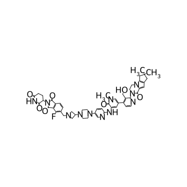 Cn1cc(-c2ccnc(N3CCn4c(cc5c4CC(C)(C)C5)C3=O)c2CO)cc(Nc2ccc(N3CCN(C4CN(Cc5ccc6c(c5F)C(=O)N(C5CCC(=O)NC5=O)C6=O)C4)CC3)cn2)c1=O